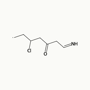 [CH2]CC(Cl)CC(=O)CC=N